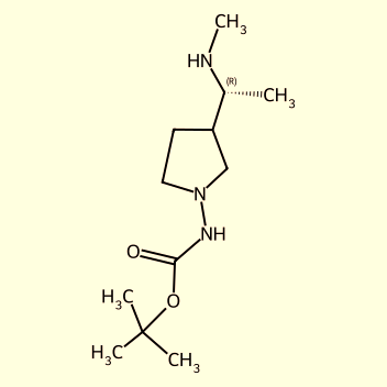 CN[C@H](C)C1CCN(NC(=O)OC(C)(C)C)C1